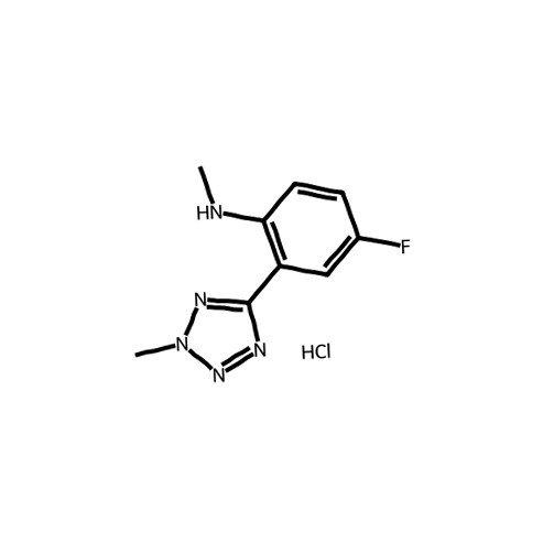 CNc1ccc(F)cc1-c1nnn(C)n1.Cl